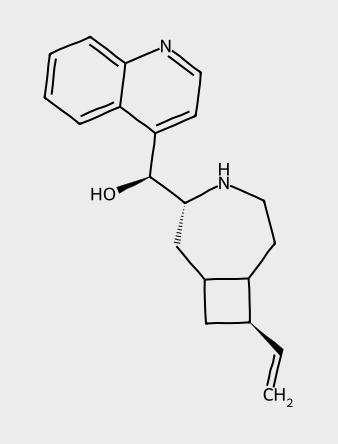 C=C[C@H]1CC2C[C@H]([C@@H](O)c3ccnc4ccccc34)NCCC21